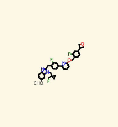 O=Cc1ccc2nc(Cc3ccc(-c4cccc(OCc5ccc(C6COC6)cc5F)n4)cc3F)n(CC3(CF)CC3)c2c1